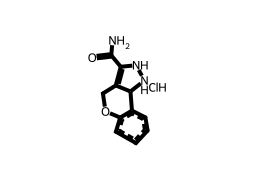 Cl.NC(=O)C1=C2COc3ccccc3C2NN1